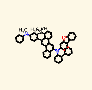 CN(c1ccccc1)c1ccc2c(c1)[Si](C)(C)c1cccc3c1c-2cc1c2ccccc2c(N(c2ccc4c(c2)oc2ccccc24)c2ccccc2-c2ccccc2)cc31